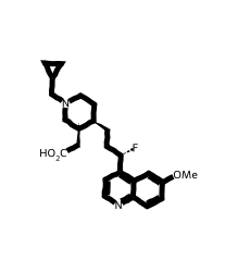 COc1ccc2nccc([C@@H](F)CC[C@@H]3CCN(CC4CC4)C[C@@H]3CC(=O)O)c2c1